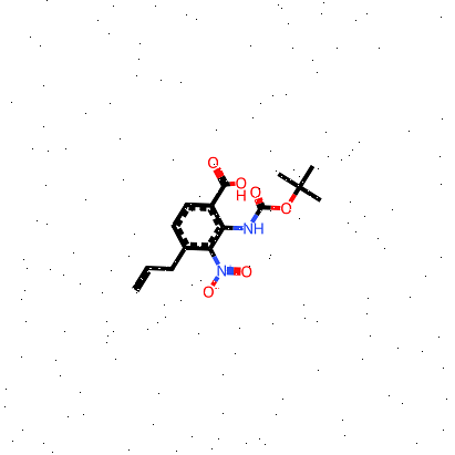 C=CCc1ccc(C(=O)O)c(NC(=O)OC(C)(C)C)c1[N+](=O)[O-]